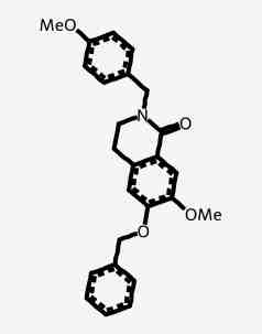 COc1ccc(CN2CCc3cc(OCc4ccccc4)c(OC)cc3C2=O)cc1